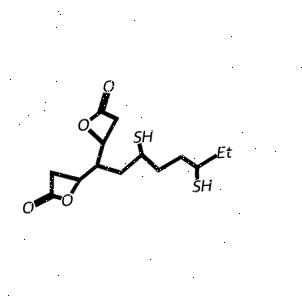 CCC(S)CCC(S)CC(C1CC(=O)O1)C1CC(=O)O1